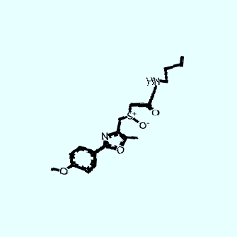 CCCCNC(=O)C[S+]([O-])Cc1nc(-c2ccc(OC)cc2)oc1C